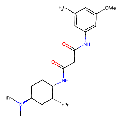 CCC[C@@H]1C[C@@H](N(C)C(C)C)CC[C@@H]1NC(=O)CC(=O)Nc1cc(OC)cc(C(F)(F)F)c1